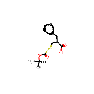 CC(C)(C)OC(=O)SSCC(Cc1ccccc1)C(=O)O